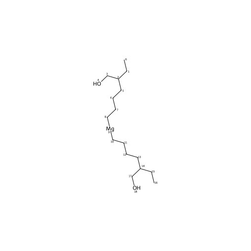 CCC(CO)CCC[CH2][Mg][CH2]CCCC(CC)CO